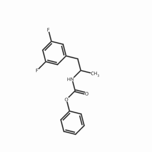 CC(Cc1cc(F)cc(F)c1)NC(=O)Oc1ccccc1